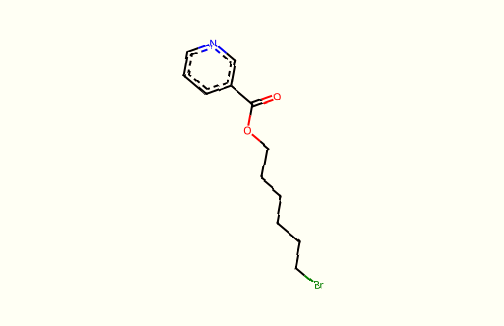 O=C(OCCCCCCBr)c1cccnc1